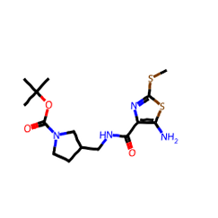 CSc1nc(C(=O)NCC2CCN(C(=O)OC(C)(C)C)C2)c(N)s1